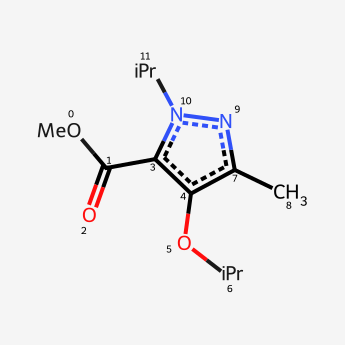 COC(=O)c1c(OC(C)C)c(C)nn1C(C)C